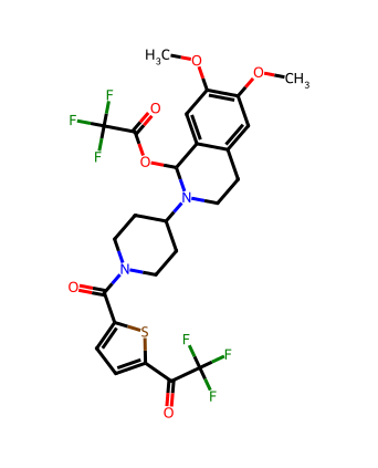 COc1cc2c(cc1OC)C(OC(=O)C(F)(F)F)N(C1CCN(C(=O)c3ccc(C(=O)C(F)(F)F)s3)CC1)CC2